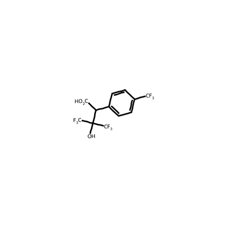 O=C(O)C(c1ccc(C(F)(F)F)cc1)C(O)(C(F)(F)F)C(F)(F)F